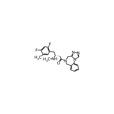 CN[C@@H](CC(=O)N1Cc2ccccc2-n2cnnc2C1)Cc1cc(C)c(F)cc1F